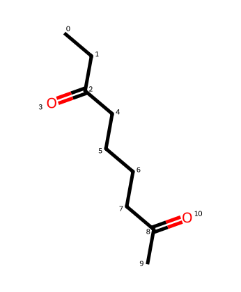 CCC(=O)CCCCC(C)=O